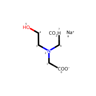 O=C([O-])CN(CCO)CC(=O)O.[Na+]